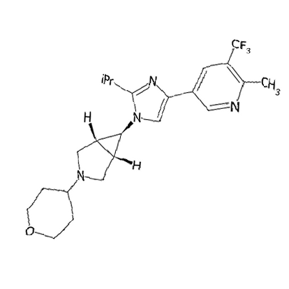 Cc1ncc(-c2cn([C@H]3[C@@H]4CN(C5CCOCC5)C[C@@H]43)c(C(C)C)n2)cc1C(F)(F)F